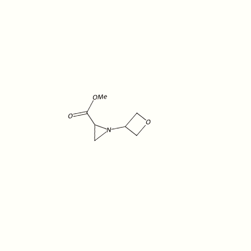 COC(=O)C1CN1C1COC1